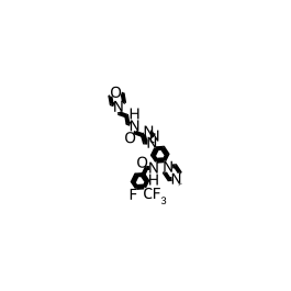 CN1CCN(c2ccc(-n3cc(C(=O)NCCCN4CCOCC4)nn3)cc2NC(=O)c2ccc(F)c(C(F)(F)F)c2)CC1